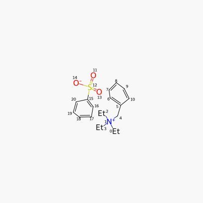 CC[N+](CC)(CC)Cc1ccccc1.O=S(=O)([O-])c1ccccc1